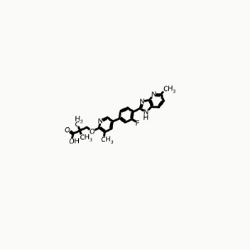 Cc1ccc2[nH]c(-c3ccc(-c4cnc(OCC(C)(C)C(=O)O)c(C)c4)cc3F)nc2n1